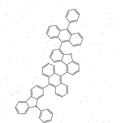 c1ccc(-c2c3ccccc3c(-c3cccc4c3oc3cccc(-c5c6ccccc6c(-c6ccc7c8ccccc8n(-c8ccccc8)c7c6)c6ccccc56)c34)c3ccccc23)cc1